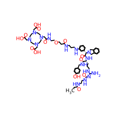 CCC(=O)NCCNC(=O)/N=C(/N)NCCC[C@@H](NC(=O)[C@H](c1cccc(NCCCNC(=O)CCOCCNC(=O)CN2CCN(CC(=O)O)CCN(CC(=O)O)CCN(CC(=O)O)CC2)c1)N1Cc2ccccc2C1)C(=O)NCc1ccc(O)cc1